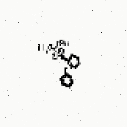 CC(C)(C)[Si](C)(C)OCC1CCCCN1Cc1ccccc1